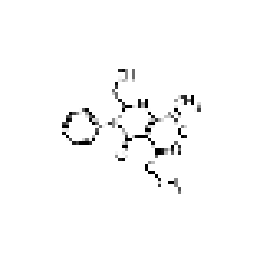 CCc1nc([S+](C)[O-])c(C(=O)OC)c(=O)n1-c1ccccc1